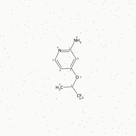 CC(Oc1ccnc(N)c1)C(F)(F)F